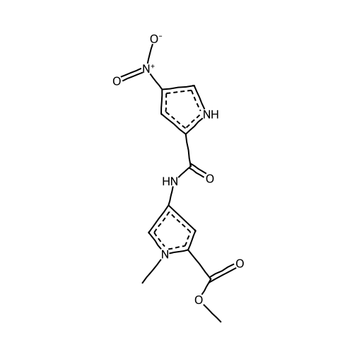 COC(=O)c1cc(NC(=O)c2cc([N+](=O)[O-])c[nH]2)cn1C